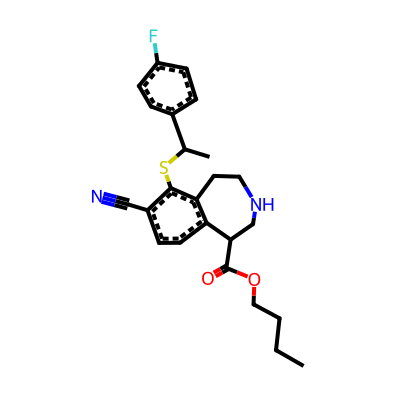 CCCCOC(=O)C1CNCCc2c1ccc(C#N)c2SC(C)c1ccc(F)cc1